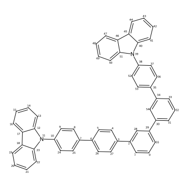 c1cc(-c2ccc(-c3ccc(-n4c5ccccc5c5ccccc54)cc3)cc2)cc(-c2cccc(-c3ccc(-n4c5ccccc5c5ccccc54)cc3)c2)c1